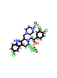 CN1CCN(CC2c3[nH]c4ccc(Cl)cc4c3CCN2CC(O)c2ccc(Cl)c(Cl)c2)CC1.Cl.Cl.Cl